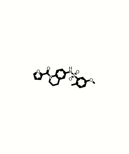 COc1ccc(C)c(S(=O)(=O)Nc2ccc3c(c2)CCCN3C(=O)c2ccco2)c1